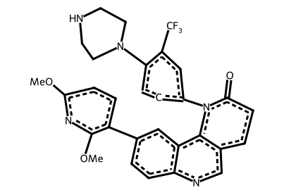 COc1ccc(-c2ccc3ncc4ccc(=O)n(-c5ccc(N6CCNCC6)c(C(F)(F)F)c5)c4c3c2)c(OC)n1